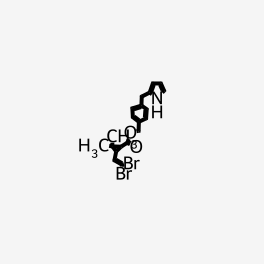 CC1(C)C(C=C(Br)Br)C1C(=O)OCc1ccc(Cc2ccc[nH]2)cc1